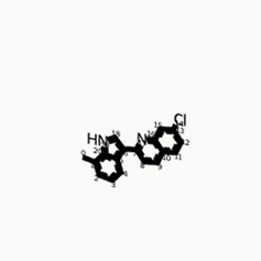 Cc1cccc2c(-c3ccc4ccc(Cl)cc4n3)c[nH]c12